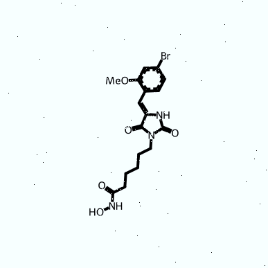 COc1cc(Br)ccc1C=C1NC(=O)N(CCCCCC(=O)NO)C1=O